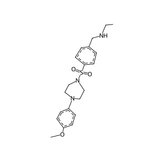 CCNCc1ccc(S(=O)(=O)N2CCN(c3ccc(OC)cc3)CC2)cc1